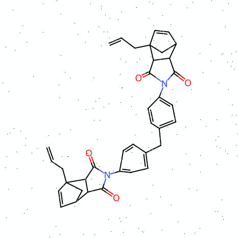 C=CCC12C=CC(C1)C1C(=O)N(c3ccc(Cc4ccc(N5C(=O)C6C7C=CC(CC=C)(C7)C6C5=O)cc4)cc3)C(=O)C12